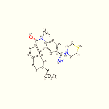 CCOC(=O)CC1CCc2ccc(C(=O)N(C)c3ccc(C(=N)N4CCSCC4)cc3)cc2C1